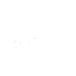 CCN(CC)CCCOCCc1ccc(Cc2cccc(Cl)c2)cc1